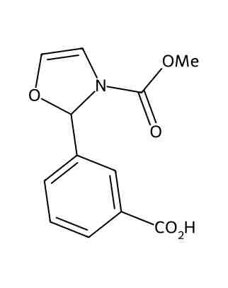 COC(=O)N1C=COC1c1cccc(C(=O)O)c1